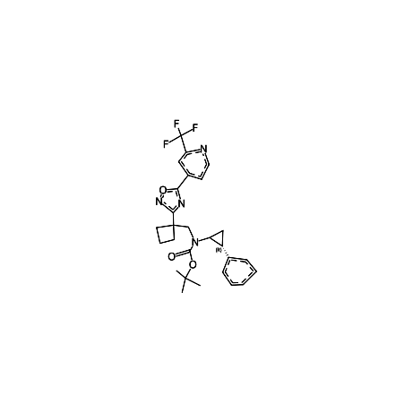 CC(C)(C)OC(=O)N(CC1(c2noc(-c3ccnc(C(F)(F)F)c3)n2)CCC1)C1C[C@@H]1c1ccccc1